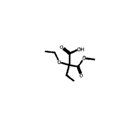 CCOC(CC)(C(=O)O)C(=O)OC